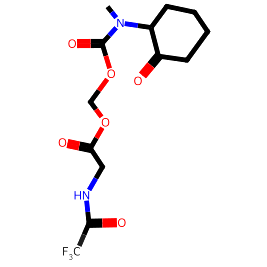 CN(C(=O)OCOC(=O)CNC(=O)C(F)(F)F)C1CCCCC1=O